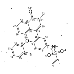 C=CS(=O)(=O)Nc1ccc(Oc2ccccc2C)c(-c2cn(C)c(=O)c3ccccc23)c1